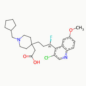 COc1ccc2ncc(Cl)c([C@H](F)CCC3(CC(=O)O)CCN(CC4CCCC4)CC3)c2c1